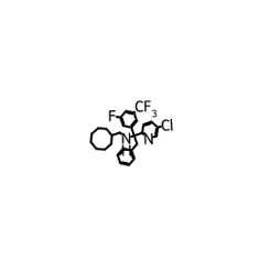 Fc1cc(C(F)(F)F)cc(C(Cc2ccccc2)(NCC2CCCCCCC2)c2ccc(Cl)cn2)c1